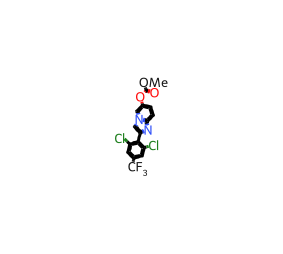 COC(=O)Oc1ccc2nc(-c3c(Cl)cc(C(F)(F)F)cc3Cl)cn2c1